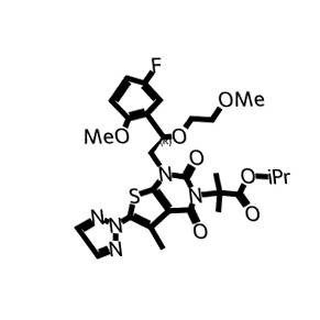 COCCO[C@@H](Cn1c(=O)n(C(C)(C)C(=O)OC(C)C)c(=O)c2c(C)c(-n3nccn3)sc21)c1cc(F)ccc1OC